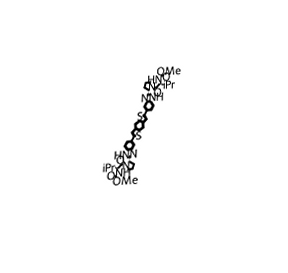 COC(=O)N[C@H](C(=O)N1CCC[C@H]1c1nc2cc(-c3cc4cc5sc(-c6ccc7[nH]c([C@@H]8CCCN8C(=O)[C@@H](NC(=O)OC)C(C)C)nc7c6)cc5cc4s3)ccc2[nH]1)C(C)C